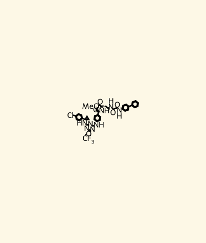 COC(=O)[C@H](CCNC(=O)C(=O)Nc1ccc(-c2ccccc2)cc1)NC(=O)c1ccc(Nc2nc(NC3(c4ccc(Cl)cc4)CC3)nc(OCC(F)(F)F)n2)cc1